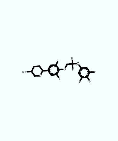 CCCC1CCC(c2cc(F)c(OCC(F)(F)Oc3cc(F)c(F)c(F)c3)c(F)c2)OC1